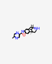 Cc1cnc(-c2nc3cc4c(cc3o2)[C@]2(C)CCN[C@H](C4)C2C)cn1